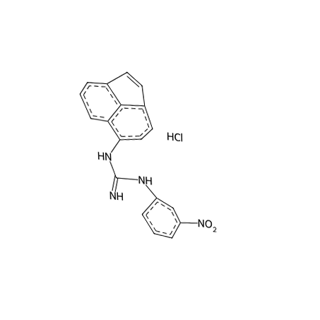 Cl.N=C(Nc1cccc([N+](=O)[O-])c1)Nc1ccc2c3c(cccc13)C=C2